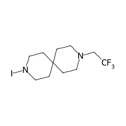 FC(F)(F)CN1CCC2(CCN(I)CC2)CC1